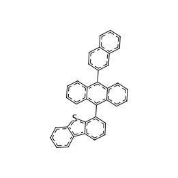 c1ccc2cc(-c3c4ccccc4c(-c4cccc5c4sc4ccccc45)c4ccccc34)ccc2c1